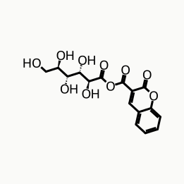 O=C(OC(=O)[C@@H](O)[C@@H](O)[C@H](O)[C@H](O)CO)c1cc2ccccc2oc1=O